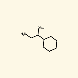 COC(CN)C1CCCCC1